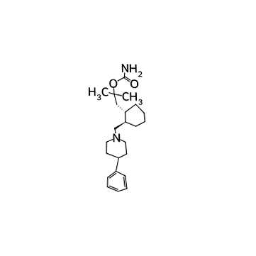 CC(C)(C[C@@H]1CCCC[C@H]1CN1CCC(c2ccccc2)CC1)OC(N)=O